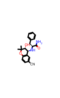 CC1(C)Oc2ccc(C#N)cc2[C@H](N[C@@H](Cc2ccccc2)C(N)=O)[C@H]1O